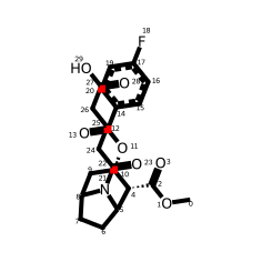 COC(=O)[C@@H]1C2CCC(C[C@@H]1OC(=O)c1ccc(F)cc1)N2C(=O)CCCC(=O)O